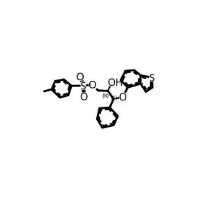 Cc1ccc(S(=O)(=O)OC[C@@H](O)[C@@H](Oc2cccc3sccc23)c2ccccc2)cc1